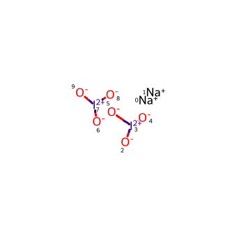 [Na+].[Na+].[O-][I+2]([O-])[O-].[O-][I+2]([O-])[O-]